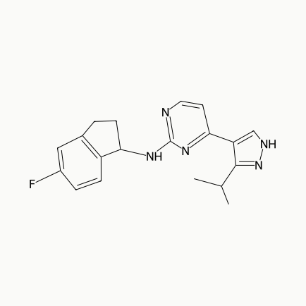 CC(C)c1n[nH]cc1-c1ccnc(NC2CCc3cc(F)ccc32)n1